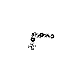 CCC(CC)NC(=O)Nc1ccc(Oc2cnc(NC(=O)c3ccc(NC(=O)CCN4CCCCC4)cc3)s2)c(OC)c1